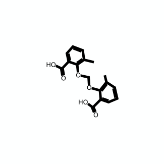 Cc1cccc(C(=O)O)c1OCOc1c(C)cccc1C(=O)O